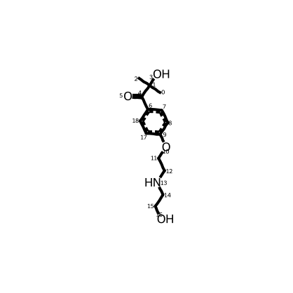 CC(C)(O)C(=O)c1ccc(OCCNCCO)cc1